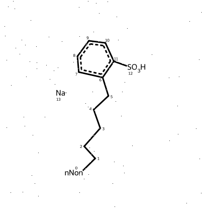 CCCCCCCCCCCCCCc1ccccc1S(=O)(=O)O.[Na]